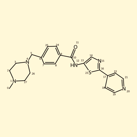 CN1CCN(Cc2ccc(C(=O)Nc3cnc(-c4ccncc4)s3)cc2)CC1